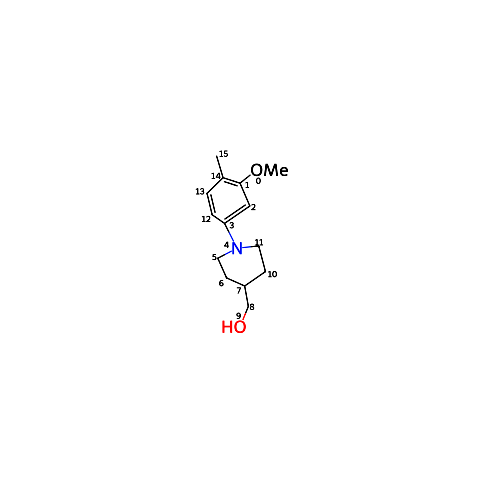 COc1cc(N2CCC(CO)CC2)ccc1C